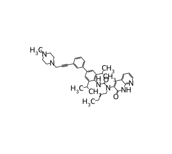 CCCCN(C(=O)Nc1c(C(C)C)cc(-c2cccc(C#CCN3CCN(C)CC3)c2)cc1C(C)C)c1cc2cccnc2[nH]c1=O